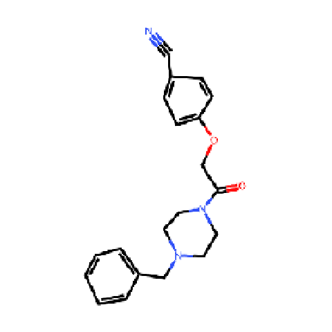 N#Cc1ccc(OCC(=O)N2CCN(Cc3ccccc3)CC2)cc1